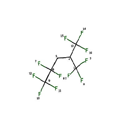 FC(F)(F)C(CC(F)(F)C(F)(F)F)C(F)(F)F